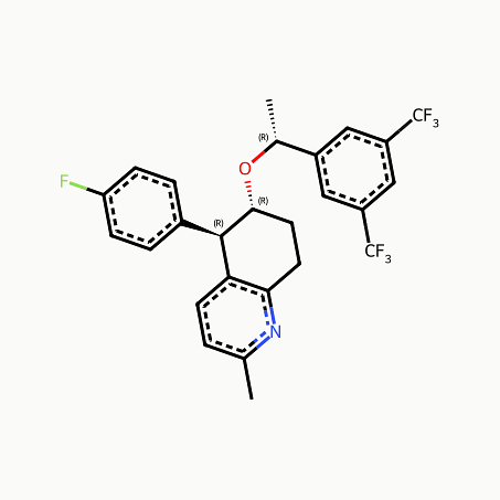 Cc1ccc2c(n1)CC[C@@H](O[C@H](C)c1cc(C(F)(F)F)cc(C(F)(F)F)c1)[C@@H]2c1ccc(F)cc1